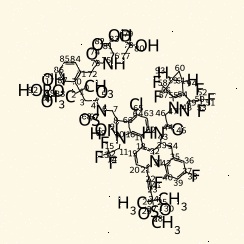 CC(C)(CC(=O)N(Cc1nn(CC(F)(F)F)c2c(-c3ccc(C#CC(C)(C)S(C)(=O)=O)nc3[C@H](Cc3cc(F)cc(F)c3)NC(=O)Cn3nc(C(F)(F)F)c4c3C(F)(F)[C@@H]3C[C@H]43)ccc(Cl)c12)[SH](=O)=O)c1c(CC(=O)N[C@@H](CC(=O)O)C(=O)O)cccc1OP(=O)(O)O